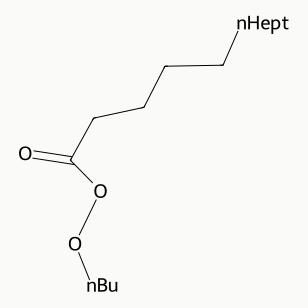 CCCCCCCCCCCC(=O)OOCCCC